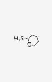 [SiH3][C]1CCCCO1